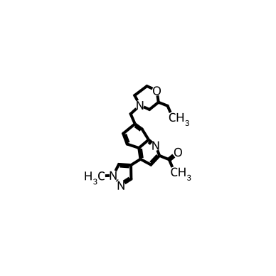 CCC1CN(Cc2ccc3c(-c4cnn(C)c4)cc(C(C)=O)nc3c2)CCO1